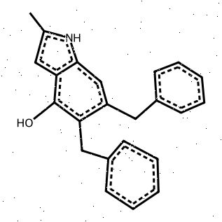 Cc1cc2c(O)c(Cc3ccccc3)c(Cc3ccccc3)cc2[nH]1